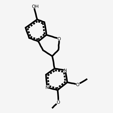 COc1ncc(C2COc3cc(O)ccc3C2)nc1OC